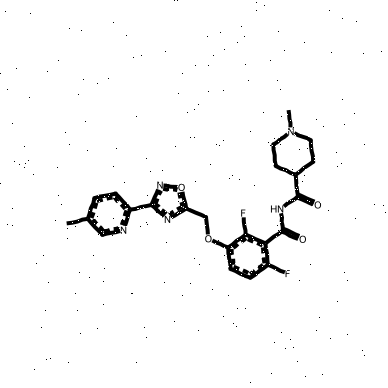 Cc1ccc(-c2noc(COc3ccc(F)c(C(=O)NC(=O)C4CCN(C)CC4)c3F)n2)nc1